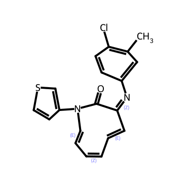 Cc1cc(/N=C2/C=C/C=C\C=C\N(c3ccsc3)C2=O)ccc1Cl